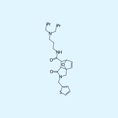 CC(C)CN(CCCNC(=O)C1C2C=CC3(CN(Cc4cccs4)C(=O)C13)O2)CC(C)C